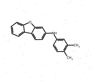 Cc1ccc(Nc2ccc3c(c2)oc2ccccc23)cc1C